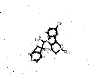 CC(n1c2c(c3cc(Cl)ccc31)CN(C)CC2)C1(O)Cc2cnccc21